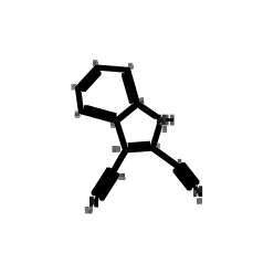 N#Cc1[nH]c2ccccc2c1C#N